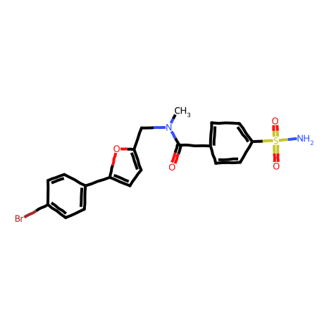 CN(Cc1ccc(-c2ccc(Br)cc2)o1)C(=O)c1ccc(S(N)(=O)=O)cc1